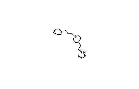 c1ccc(CCCN2CCC(CCn3nccn3)CC2)cc1